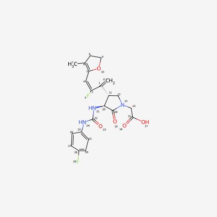 C=C(/C(F)=C\C1=C(C)CCO1)[C@@H]1CN(CC(=O)O)C(=O)[C@H]1NC(=O)Nc1ccc(F)cc1